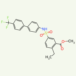 CCc1ccc(S(=O)(=O)Nc2ccc(-c3ccc(C(F)(F)F)cc3)cc2)cc1C(=O)OC